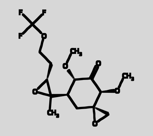 CO[C@@H]1C(=O)[C@@H](OC)[C@]2(CO2)C[C@H]1C1(C)O[C@@H]1CCOC(F)(F)F